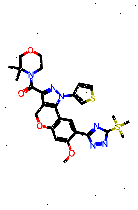 COc1cc2c(cc1C1=NC(S(C)(C)C)N=N1)-c1c(c(C(=O)N3CCOCC3(C)C)nn1-c1ccsc1)CO2